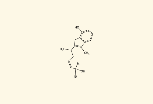 CCC(O)(/C=C\CC(C)C1=C(C)c2cccc(O)c2C1)CC